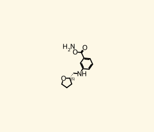 NOC(=O)c1cccc(NC[C@@H]2CCCO2)c1